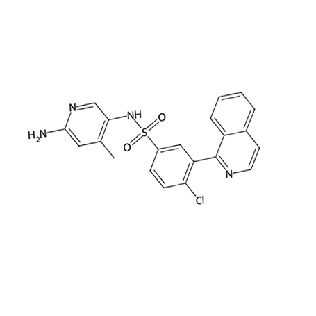 Cc1cc(N)ncc1NS(=O)(=O)c1ccc(Cl)c(-c2nccc3ccccc23)c1